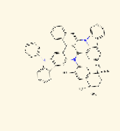 Cc1cc2c(cc1N1B3c4c(cc5ccccc5c4-c4cc5c(cc41)c1ccccc1n5-c1ccccc1)-n1c4ccccc4c4cccc3c41)C(C)(C)CCC2(C)C